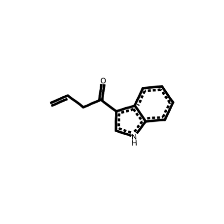 C=CCC(=O)c1c[nH]c2ccccc12